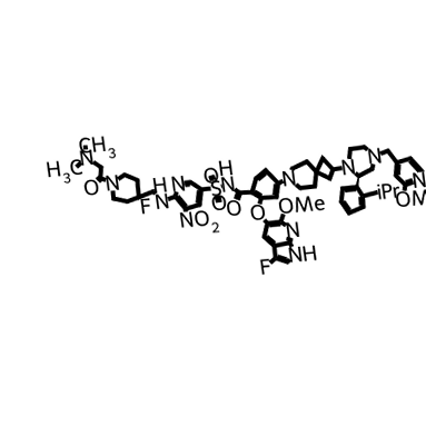 COc1cc(CN2CCN(C3CC4(CCN(c5ccc(C(=O)NS(=O)(=O)c6cnc(NCC7(F)CCN(C(=O)CN(C)C)CC7)c([N+](=O)[O-])c6)c(Oc6cc7c(F)c[nH]c7nc6OC)c5)CC4)C3)[C@H](c3ccccc3C(C)C)C2)ccn1